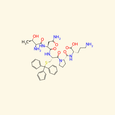 C[C@@H](O)[C@H](N)C(=O)N[C@@H](CC(N)=O)C(=O)N[C@@H](CSC(c1ccccc1)(c1ccccc1)c1ccccc1)C(=O)N1CCC[C@H]1C(=O)N[C@@H](CCCN)C(=O)O